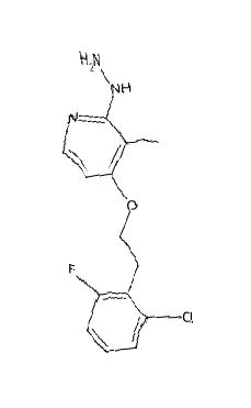 Cc1c(OCCc2c(F)cccc2Cl)ccnc1NN